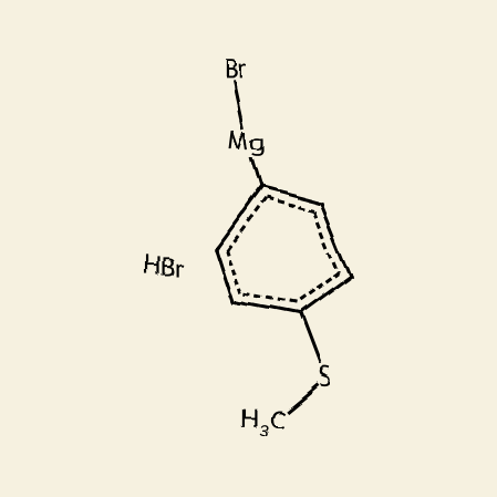 Br.CSc1cc[c]([Mg][Br])cc1